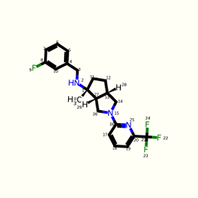 C[C@@]1(NCc2cccc(F)c2)CC[C@@H]2CN(c3cccc(C(F)(F)F)n3)C[C@@H]21